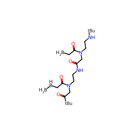 BBCC(=O)N(CCNC(=O)CN(CCNC(C)(C)C)C(=O)CB)CC(=O)C(C)(C)C